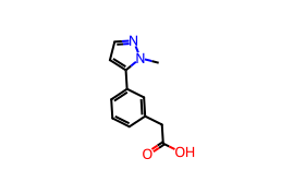 Cn1nccc1-c1cccc(CC(=O)O)c1